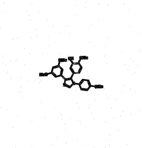 COc1ccc(-n2cnc(-c3cc(OC)cc(OC)c3)c2-c2ccc(OC)c(O)c2)cc1